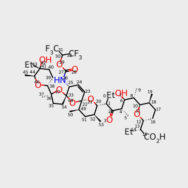 CCC(C(=O)[C@@H](C)[C@@H](O)[C@H](C)[C@@H]1O[C@@H]([C@@H](CC)C(=O)O)CC[C@@H]1C)[C@H]1O[C@]2(C=C[C@@H](NC(=O)OC(C(F)(F)F)C(F)(F)F)[C@]3(CC[C@@](C)([C@H]4CC[C@](O)(CC)[C@H](C)O4)O3)O2)[C@H](C)C[C@@H]1C